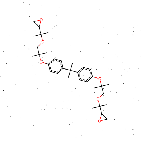 CC(C)(COC(C)(C)C1CO1)Oc1ccc(C(C)(C)c2ccc(OC(C)(C)COC(C)(C)C3CO3)cc2)cc1